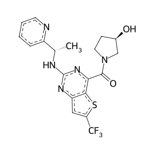 C[C@H](Nc1nc(C(=O)N2CC[C@@H](O)C2)c2sc(C(F)(F)F)cc2n1)c1ccccn1